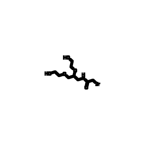 O=C(CBr)NCC(COCCO)OCCO